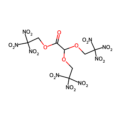 O=C(OCC([N+](=O)[O-])([N+](=O)[O-])[N+](=O)[O-])C(OCC([N+](=O)[O-])([N+](=O)[O-])[N+](=O)[O-])OCC([N+](=O)[O-])([N+](=O)[O-])[N+](=O)[O-]